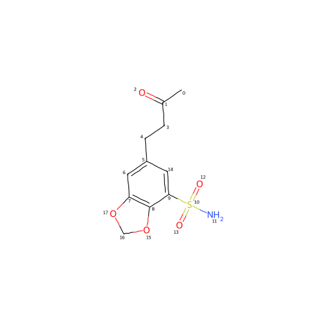 CC(=O)CCc1cc2c(c(S(N)(=O)=O)c1)OCO2